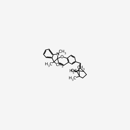 CN1c2ccccc2C(C)(C)C12C=Cc1cc(C=C3C(=O)C4(C)CCC3C4(C)C)ccc1O2